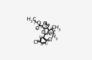 CCOC(=O)C1CC(C(NC(=O)c2cc(Cl)ccc2Cl)C(C)C)=NO1